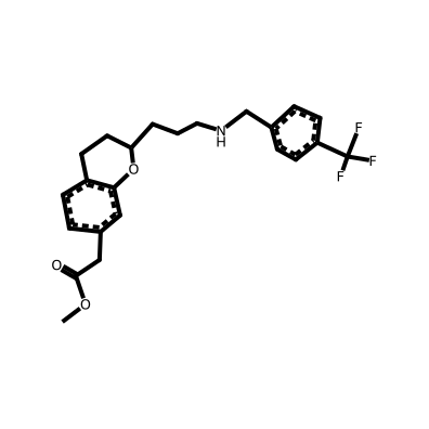 COC(=O)Cc1ccc2c(c1)OC(CCCNCc1ccc(C(F)(F)F)cc1)CC2